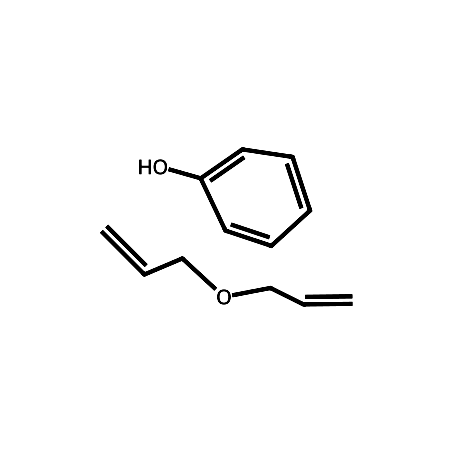 C=CCOCC=C.Oc1ccccc1